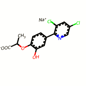 CC(Oc1ccc(-c2ncc(Cl)cc2Cl)cc1O)C(=O)[O-].[Na+]